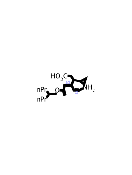 C=C(/C=C(\C=C/N)C(CC(=O)O)C1CC1)OCC(CCC)CCC